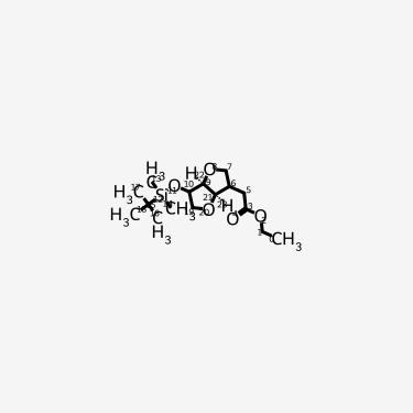 CCOC(=O)CC1CO[C@@H]2C(O[Si](C)(C)C(C)(C)C)CO[C@H]12